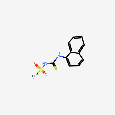 CS(=O)(=O)NC(=S)Nc1cccc2ccccc12